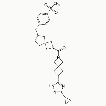 O=C(N1CC2(CC(c3nc(C4CC4)n[nH]3)C2)C1)N1CC2(CCN(Cc3ccc(S(=O)(=O)C(F)(F)F)cc3)C2)C1